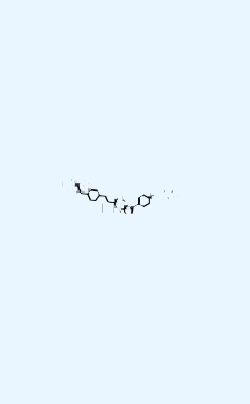 CCCS(=O)(=O)Cc1ccc(C=CC(=O)Nc2nc(-c3ccc(OC)cc3)cs2)cc1